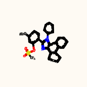 COc1ccc(-c2nc3c4ccccc4c4ccccc4c3n2-c2ccccc2)c(OS(=O)(=O)C(F)(F)F)c1